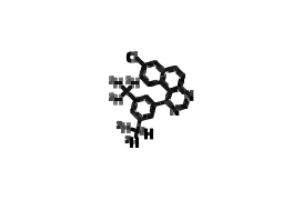 [2H]C([2H])([2H])c1cc(-c2ncnc3ccc4cc(Cl)ccc4c23)cc(C([2H])([2H])[2H])c1